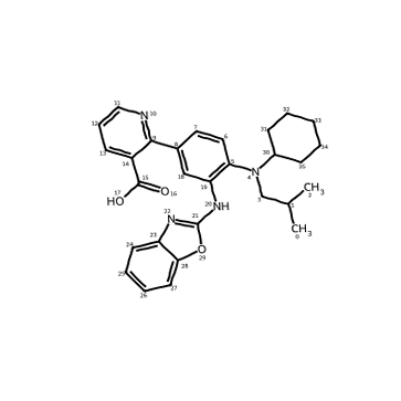 CC(C)CN(c1ccc(-c2ncccc2C(=O)O)cc1Nc1nc2ccccc2o1)C1CCCCC1